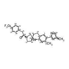 Cc1nc2c(cc1-c1nnn(C)n1)CC[C@]1(CCN(C(=O)Cc3ccc(C(F)(F)F)cc3)C1)N2